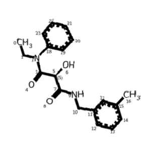 CCN(C(=O)[C@@H](O)C(=O)NCc1cccc(C)c1)c1ccccc1